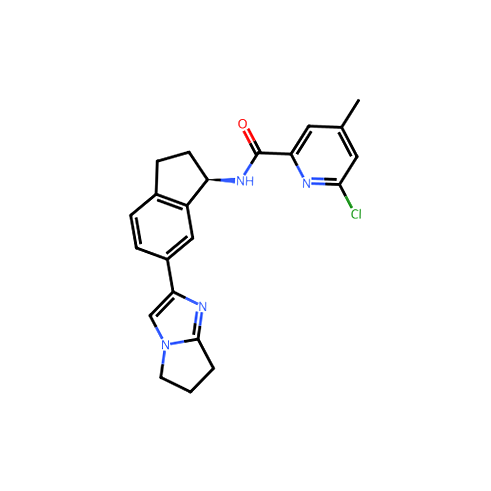 Cc1cc(Cl)nc(C(=O)N[C@@H]2CCc3ccc(-c4cn5c(n4)CCC5)cc32)c1